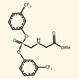 COC(=O)CNCP(=O)(Oc1cccc(C(F)(F)F)c1)Oc1cccc(C(F)(F)F)c1